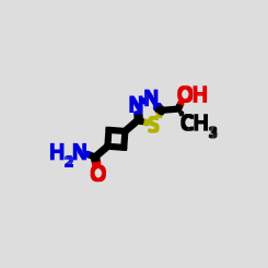 C[C@@H](O)c1nnc(C2CC(C(N)=O)C2)s1